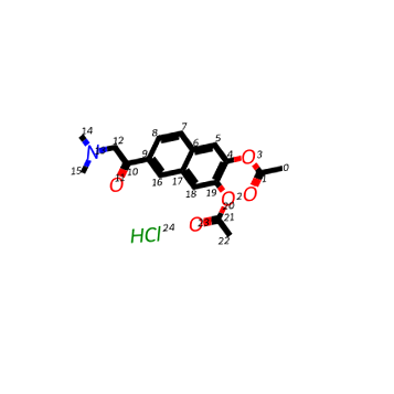 CC(=O)Oc1cc2ccc(C(=O)CN(C)C)cc2cc1OC(C)=O.Cl